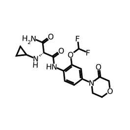 NC(=O)[C@@H](NC1CC1)C(=O)Nc1ccc(N2CCOCC2=O)cc1OC(F)F